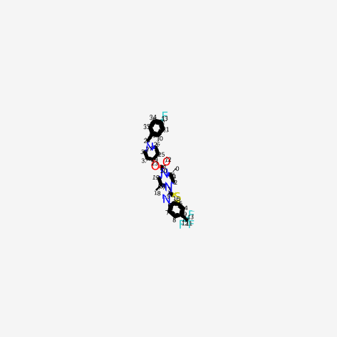 C[C@@H]1CN(c2nc3ccc(C(F)(F)F)cc3s2)[C@@H](C)CN1C(=O)OC1CCN(Cc2ccc(F)cc2)CC1